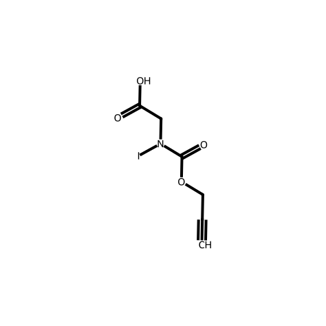 C#CCOC(=O)N(I)CC(=O)O